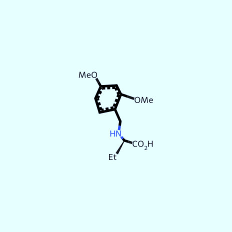 CC[C@@H](NCc1ccc(OC)cc1OC)C(=O)O